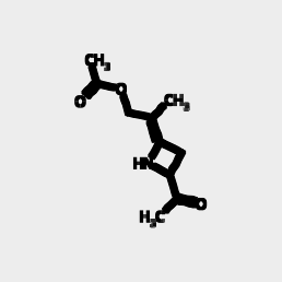 CC(=O)OC/C(C)=C1/CC(C(C)=O)N1